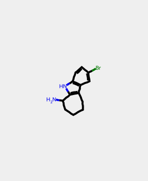 NC1CCCCc2c1[nH]c1ccc(Br)cc21